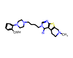 COc1ccccc1N1CCN(CCCCN2C=Nc3sc4c(c3C2[N])CCN(C)C4)CC1